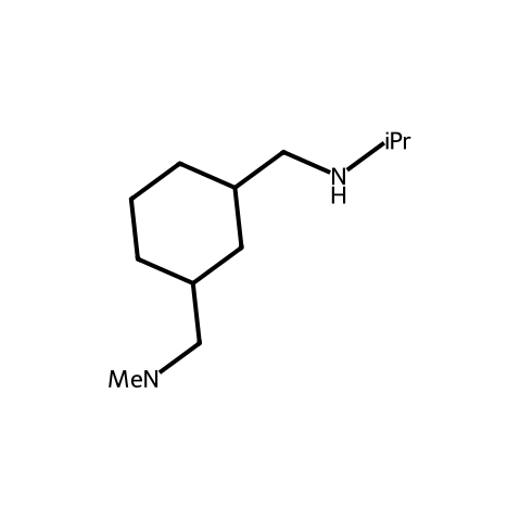 CNCC1CCCC(CNC(C)C)C1